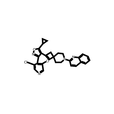 Clc1cncc(Cl)c1-c1noc(C2CC2)c1C1=CC2(CCN(c3ccc4ccccc4n3)CC2)C1